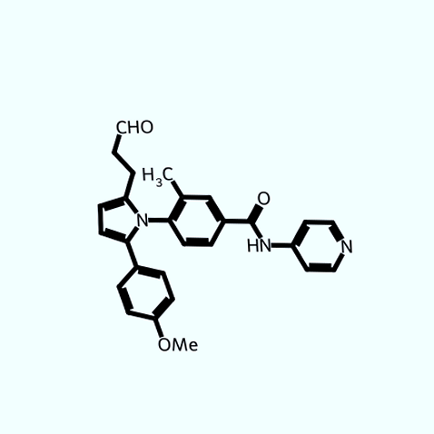 COc1ccc(-c2ccc(CCC=O)n2-c2ccc(C(=O)Nc3ccncc3)cc2C)cc1